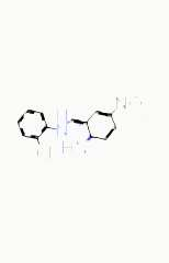 Cc1ccccc1N/C=C1/C=C([N+](=O)[O-])C=CC1=N